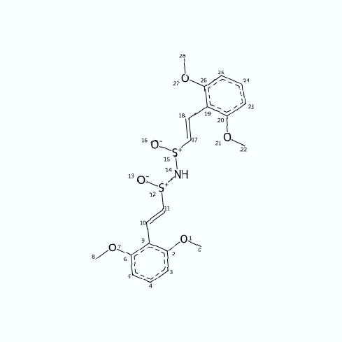 COc1cccc(OC)c1/C=C/[S+]([O-])N[S+]([O-])/C=C/c1c(OC)cccc1OC